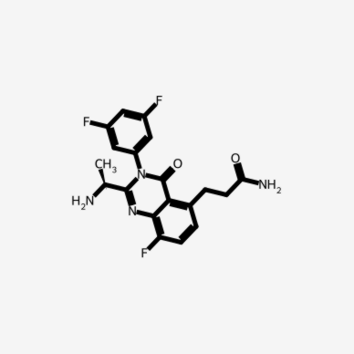 C[C@H](N)c1nc2c(F)ccc(CCC(N)=O)c2c(=O)n1-c1cc(F)cc(F)c1